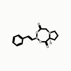 O=C1CN2CCC[C@H]2C(=O)OB(/C=C/c2ccccc2)O1